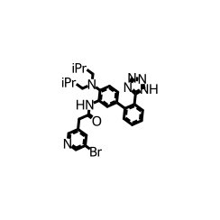 CC(C)CN(CC(C)C)c1ccc(-c2ccccc2-c2nnn[nH]2)cc1NC(=O)Cc1cncc(Br)c1